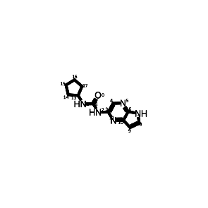 O=C(Nc1cnc2[nH]ccc2n1)NC1CCCC1